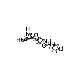 O=C(NCc1ccc(Cl)cc1)Nc1ccc(CC(=O)N2CNC[C@H](CO)C2)cc1